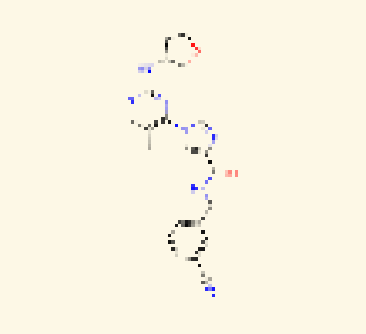 Cc1cnc(NC2CCOC2)nc1-n1cnc(C(=O)NCc2cccc(C#N)c2)c1